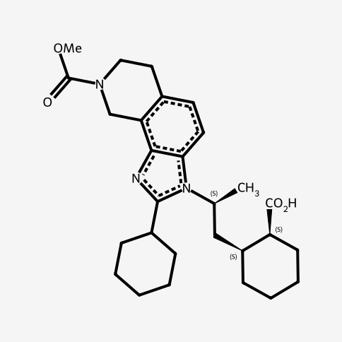 COC(=O)N1CCc2ccc3c(nc(C4CCCCC4)n3[C@@H](C)C[C@@H]3CCCC[C@@H]3C(=O)O)c2C1